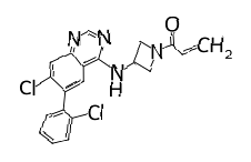 C=CC(=O)N1CC(Nc2ncnc3cc(Cl)c(-c4ccccc4Cl)cc23)C1